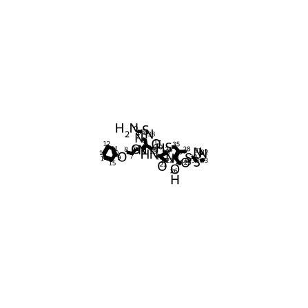 Nc1nc(C(=NOCCOc2ccccc2)C(=O)NC2C(=O)N3C(C(=O)O)=C(CSc4nncs4)CS[C@@H]23)ns1